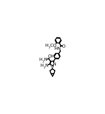 COc1ccccc1C(=O)NCc1ccc(-c2nn(C3CC4CC4C3)c(N)c2C(N)O)cc1